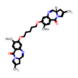 COc1cc2c(cc1OCCCCCOc1cc3c(cc1OC)C(=O)N1C=C(C)C[C@H]1C=N3)N=CC1CC(C)=CN1C2=O